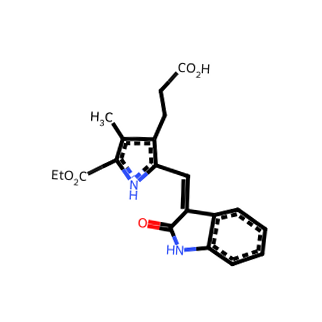 CCOC(=O)c1[nH]c(/C=C2\C(=O)Nc3ccccc32)c(CCC(=O)O)c1C